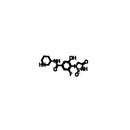 O=C1CN(c2c(O)cc(C(=O)N[C@@H]3CCCNC3)cc2F)[S+]([O-])N1